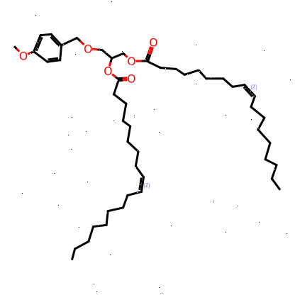 CCCCCCCC/C=C\CCCCCCCC(=O)OCC(COCc1ccc(OC)cc1)OC(=O)CCCCCCC/C=C\CCCCCCCC